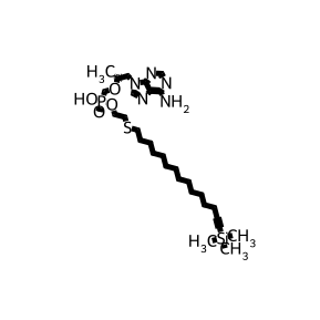 C[C@H](Cn1cnc2c(N)ncnc21)OCP(=O)(O)OCCSCCCCCCCCCCCCCC#C[Si](C)(C)C